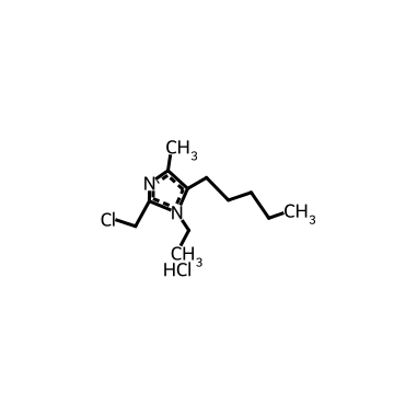 CCCCCc1c(C)nc(CCl)n1CC.Cl